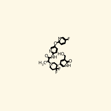 C[C@@H](C(=O)Nc1ccc(Oc2ccc(F)cn2)cn1)N1CCC(F)(F)[C@@H](c2c[nH]c(=O)c(CO)c2)C1